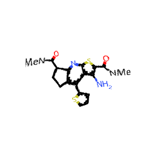 CNC(=O)c1sc2nc3c(c(-c4cccs4)c2c1N)CCC3C(=O)NC